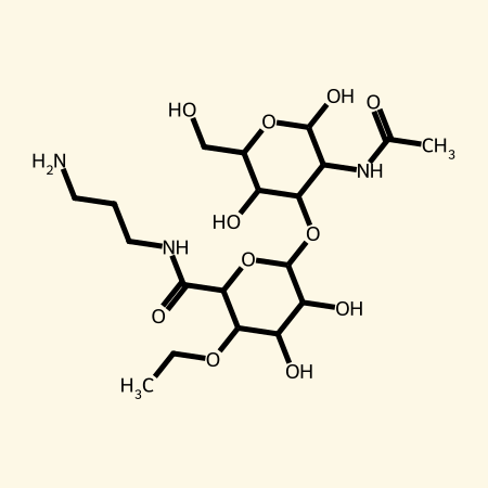 CCOC1C(C(=O)NCCCN)OC(OC2C(O)C(CO)OC(O)C2NC(C)=O)C(O)C1O